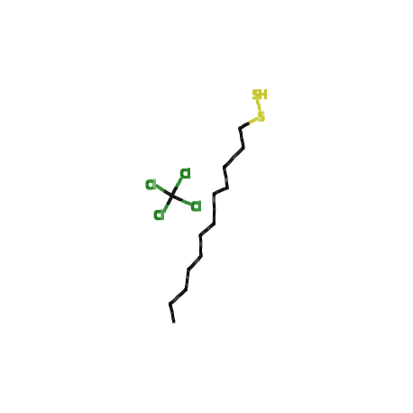 CCCCCCCCCCCCSS.ClC(Cl)(Cl)Cl